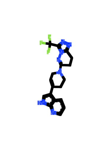 FC(F)(F)c1nnc2n1N=C(N1CC=C(c3c[nH]c4ncccc34)CC1)CC2